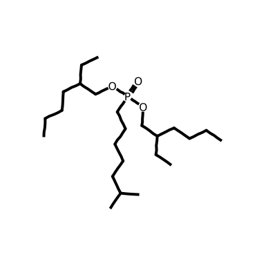 CCCCC(CC)COP(=O)(CCCCCC(C)C)OCC(CC)CCCC